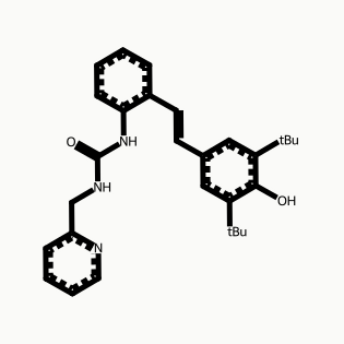 CC(C)(C)c1cc(C=Cc2ccccc2NC(=O)NCc2ccccn2)cc(C(C)(C)C)c1O